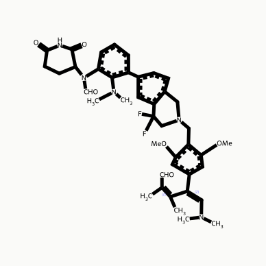 COc1cc(C(=C/N(C)C)/C(C)=C(/C)C=O)cc(OC)c1CN1Cc2ccc(-c3cccc(N(C=O)C4CCC(=O)NC4=O)c3N(C)C)cc2C(F)(F)C1